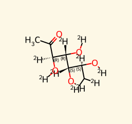 [2H]O[C@]([2H])([C@@]([2H])(O[2H])[C@@]([2H])(O[2H])C([2H])[2H])[C@@]([2H])(O[2H])C(C)=O